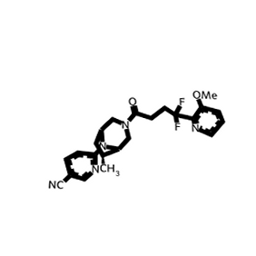 COc1cccnc1C(F)(F)CCC(=O)N1CC2C[C@H](C)C(C1)N2c1ccc(C#N)cn1